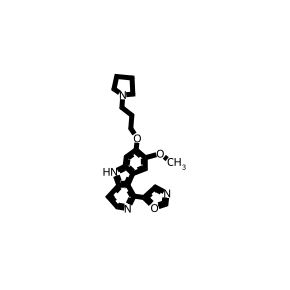 COc1cc2c(cc1OCCCN1CCCC1)[nH]c1ccnc(-c3cnco3)c12